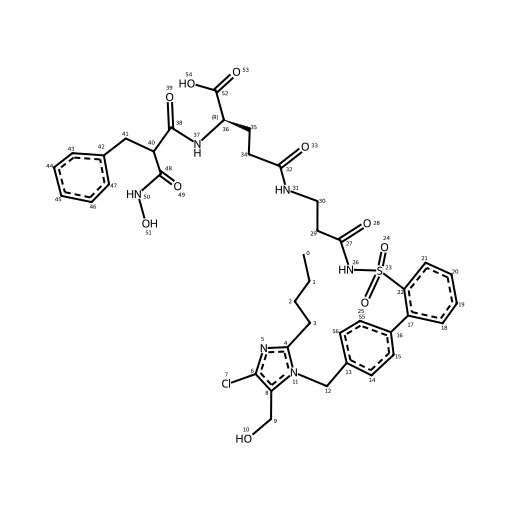 CCCCc1nc(Cl)c(CO)n1Cc1ccc(-c2ccccc2S(=O)(=O)NC(=O)CCNC(=O)CC[C@@H](NC(=O)C(Cc2ccccc2)C(=O)NO)C(=O)O)cc1